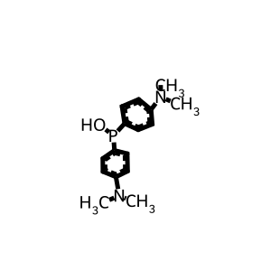 CN(C)c1ccc(P(O)c2ccc(N(C)C)cc2)cc1